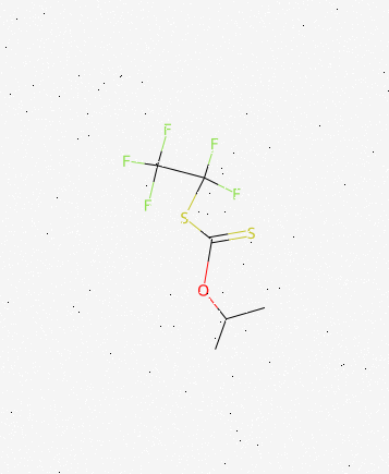 CC(C)OC(=S)SC(F)(F)C(F)(F)F